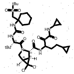 CC(C)(C)[C@H](NC(=O)NC1(CS(=O)(=O)C(C)(C)C)CCCCC1)C(=O)N1C[C@H]2[C@@H]([C@H]1C(=O)NC(CCC1CC1)C(=O)C(=O)NC1CC1)C2(Cl)Cl